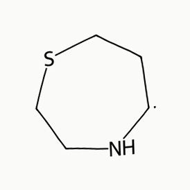 [CH]1CCSCCN1